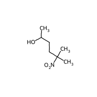 CC(O)CCC(C)(C)[N+](=O)[O-]